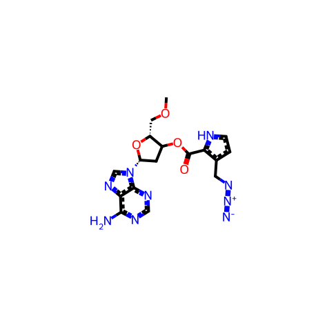 COC[C@H]1O[C@@H](n2cnc3c(N)ncnc32)CC1OC(=O)c1[nH]ccc1CN=[N+]=[N-]